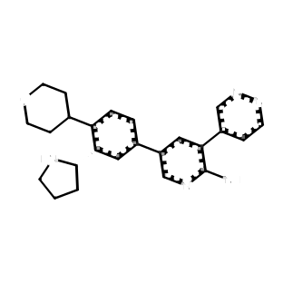 Nc1ncc(-c2ccc(C3CCOCC3)c([C@@H]3CCCN3)c2)cc1-c1ccnnc1